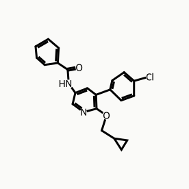 O=C(Nc1cnc(OCC2CC2)c(-c2ccc(Cl)cc2)c1)c1ccccc1